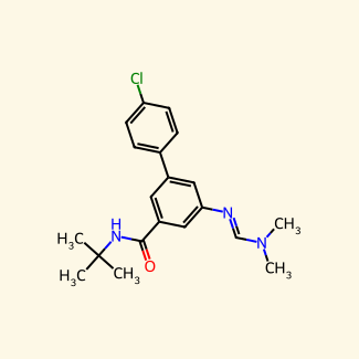 CN(C)C=Nc1cc(C(=O)NC(C)(C)C)cc(-c2ccc(Cl)cc2)c1